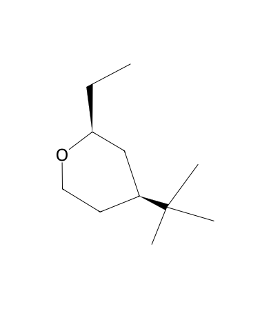 CC[C@H]1C[C@@H](C(C)(C)C)CCO1